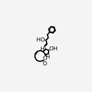 O=C1CCC/C=C\C[C@@H]2[C@@H](/C=C/[C@@H](O)CCc3ccccc3)[C@H](O)C[C@@H]2O1